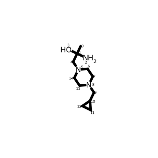 CC(N)(O)CN1CCN(CC2CC2)CC1